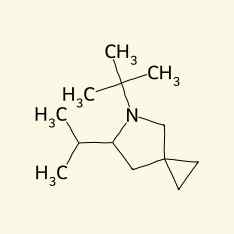 CC(C)C1CC2(CC2)CN1C(C)(C)C